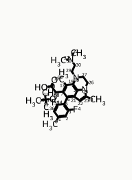 Cc1cc(F)c(-c2c([C@H](OC(C)(C)C)C(=O)O)c(C)c3c4c2cc(C)n4CCN3CCN(C)C)c(F)c1